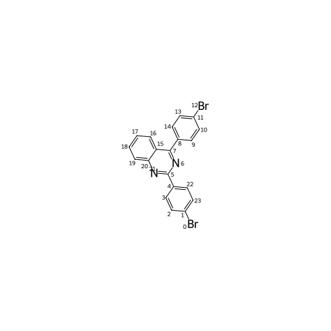 Brc1ccc(-c2nc(-c3ccc(Br)cc3)c3ccccc3n2)cc1